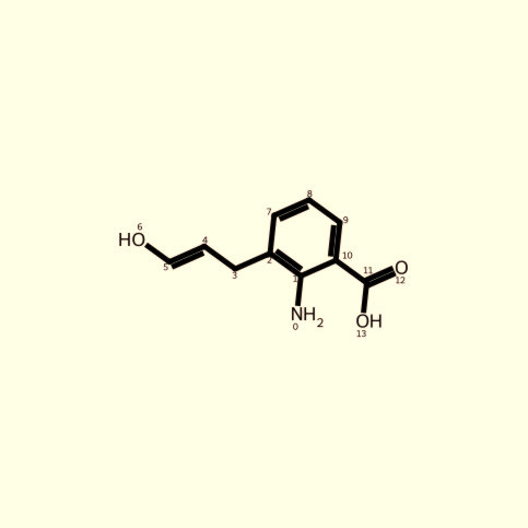 Nc1c(CC=CO)cccc1C(=O)O